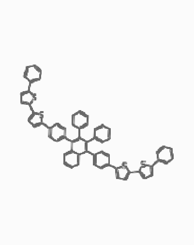 c1ccc(-c2ccc(-c3ccc(-c4ccc(-c5c(-c6ccccc6)c(-c6ccccc6)c(-c6ccc(-c7ccc(-c8ccc(-c9ccccc9)s8)s7)cc6)c6ccccc56)cc4)s3)s2)cc1